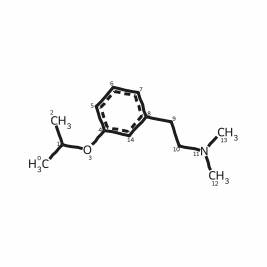 CC(C)Oc1cccc(CCN(C)C)c1